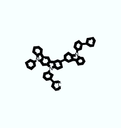 c1ccc(-c2cccc(-n3c4ccccc4c4cc(-c5ccc6c(c5)c5cc7c8ccccc8n(-c8ccccc8)c7cc5n6-c5cccc(-c6ccccc6)c5)ccc43)c2)cc1